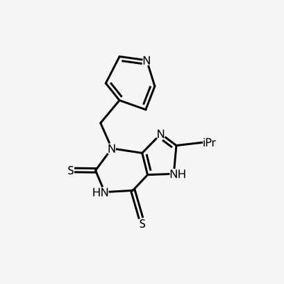 CC(C)c1nc2c([nH]1)c(=S)[nH]c(=S)n2Cc1ccncc1